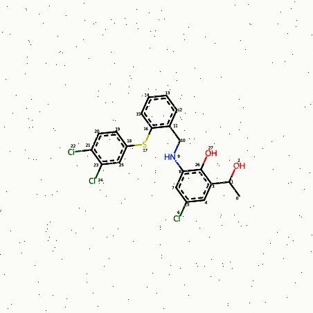 CC(O)c1cc(Cl)cc(NCc2ccccc2Sc2ccc(Cl)c(Cl)c2)c1O